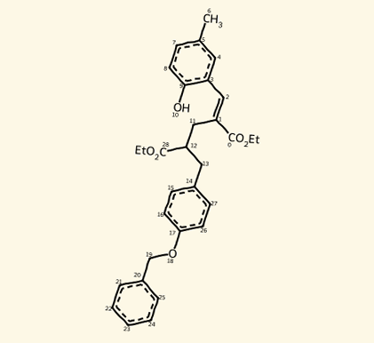 CCOC(=O)C(=Cc1cc(C)ccc1O)CC(Cc1ccc(OCc2ccccc2)cc1)C(=O)OCC